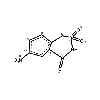 O=C1NS(=O)(=O)Cc2ccc([N+](=O)[O-])cc21